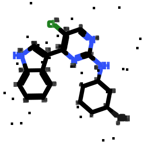 CC(C)(C)[C@H]1CC[CH][C@@H](Nc2ncc(Cl)c(-c3c[nH]c4ccccc34)n2)C1